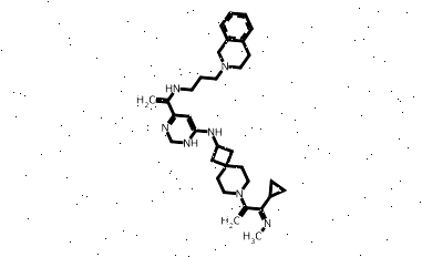 C=C(NCCCN1CCc2ccccc2C1)C1=NCNC(NC2CC3(CCN(C(=C)/C(=N\C)C4CC4)CC3)C2)=C1